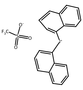 O=S(=O)([O-])C(F)(F)F.c1ccc2c([I+]c3cccc4ccccc34)cccc2c1